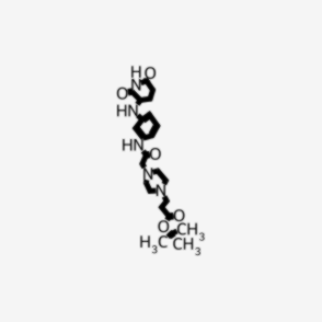 CC(C)(C)OC(=O)CCN1CCN(CC(=O)Nc2cccc(NC3CCC(=O)NC3=O)c2)CC1